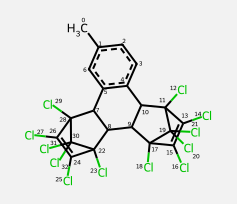 Cc1ccc2c(c1)C1C(C3C2C2(Cl)C(Cl)=C(Cl)C3(Cl)C2(Cl)Cl)C2(Cl)C(Cl)=C(Cl)C1(Cl)C2(Cl)Cl